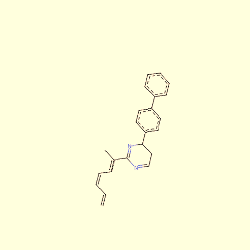 C=C/C=C\C=C(/C)C1=NC(c2ccc(-c3ccccc3)cc2)CC=N1